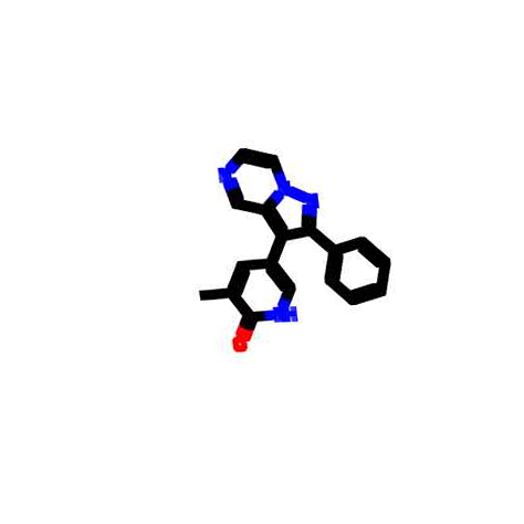 Cc1cc(-c2c(-c3ccccc3)nn3ccncc23)c[nH]c1=O